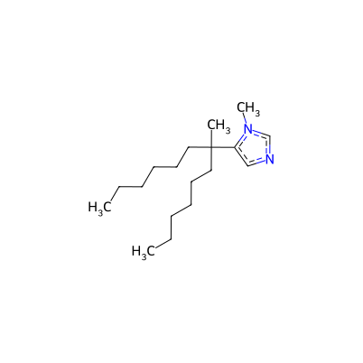 CCCCCCC(C)(CCCCCC)c1cncn1C